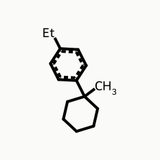 CCc1ccc(C2(C)CCCCC2)cc1